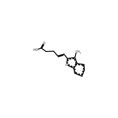 Cc1c(/C=C/CCC(=O)O)oc2ccccc12